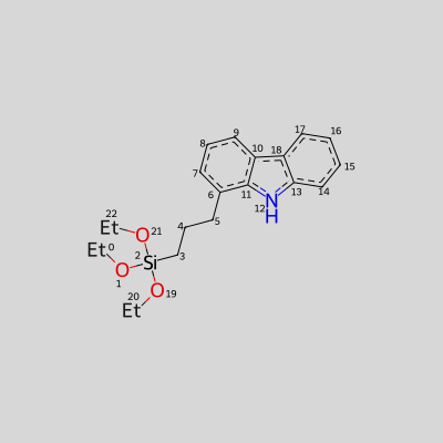 CCO[Si](CCCc1cccc2c1[nH]c1ccccc12)(OCC)OCC